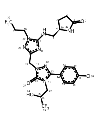 O=C1CC[C@H](CNc2nc(Cn3nc(-c4ccc(Cl)cc4)n(C[C@H](O)C(F)(F)F)c3=O)nn2CCC(F)(F)F)N1